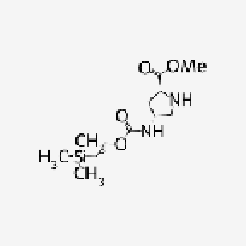 COC(=O)[C@@H]1C[C@@H](NC(=O)OCC[Si](C)(C)C)CN1